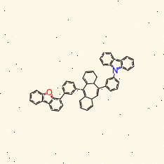 C1=CCC2C(=C1)C(c1cccc(-c3cccc4c3oc3ccccc34)c1)=C1C=CC=CC1C=C2c1cccc(-n2c3ccccc3c3ccccc32)c1